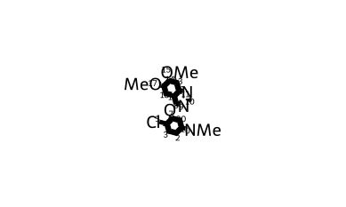 CNc1ccc(Cl)c(Oc2ncnc3cc(OC)c(OC)cc23)c1